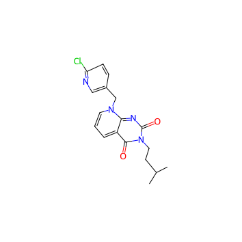 CC(C)CCn1c(=O)nc2n(Cc3ccc(Cl)nc3)cccc-2c1=O